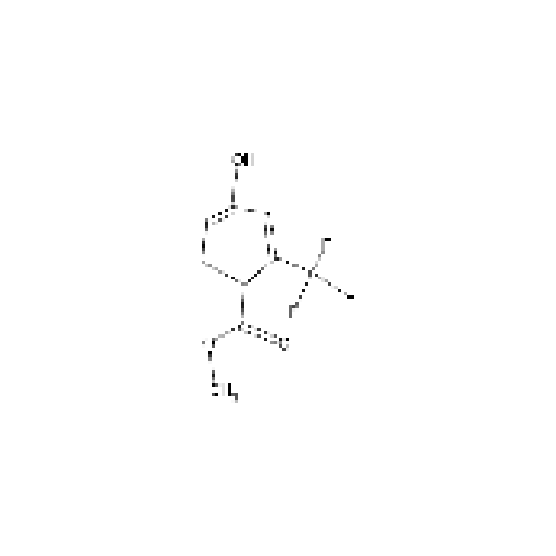 COC(=O)C1CC=C(O)C=C1C(F)(F)F